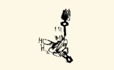 CC(C)[C@@H](C(=O)N1C[C@H](O)C[C@H]1C(=O)NCc1ccc(-c2ccno2)cc1)N1Cc2ccccc2C1=O